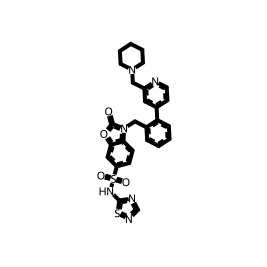 O=c1oc2cc(S(=O)(=O)Nc3ncns3)ccc2n1Cc1ccccc1-c1ccnc(CN2CCCCC2)c1